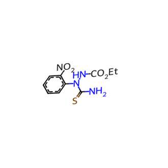 CCOC(=O)NN(C(N)=S)c1ccccc1[N+](=O)[O-]